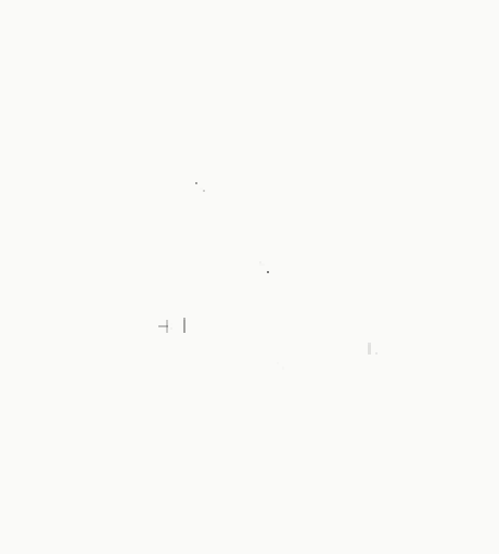 Cl.c1ccc2nc(N3CCN(C4CCCC4)CC3)cnc2c1